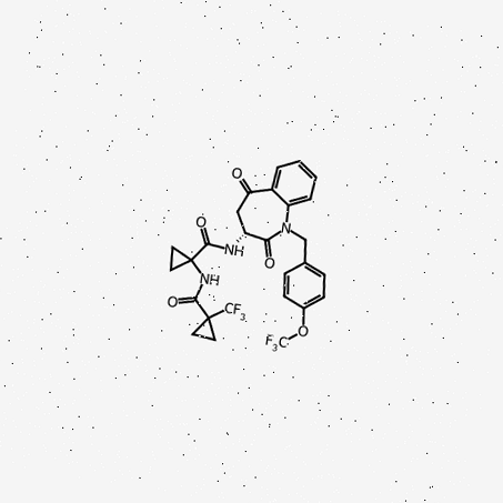 O=C1C[C@@H](NC(=O)C2(NC(=O)C3(C(F)(F)F)CC3)CC2)C(=O)N(Cc2ccc(OC(F)(F)F)cc2)c2ccccc21